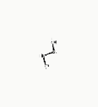 CS[NH][Zn]